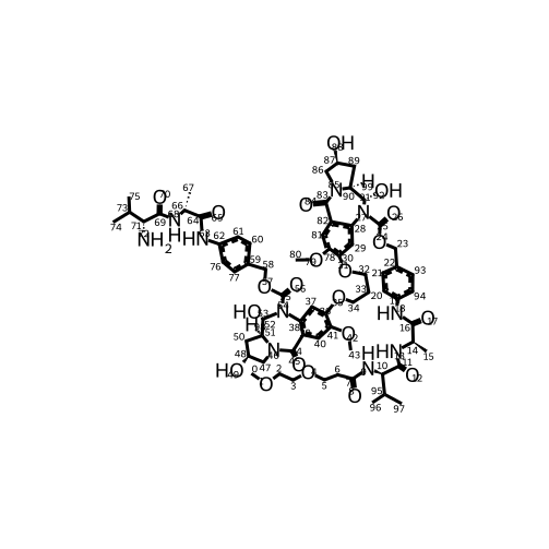 COCCOCCC(=O)N[C@@H](C(=O)N[C@H](C)C(=O)Nc1ccc(COC(=O)N2c3cc(OCCCOc4cc5c(cc4OC)C(=O)N4C[C@@H](O)C[C@H]4[C@H](O)N5C(=O)OCc4ccc(NC(=O)[C@@H](C)NC(=O)[C@H](N)C(C)C)cc4)c(OC)cc3C(=O)N3C[C@@H](O)C[C@H]3[C@@H]2O)cc1)C(C)C